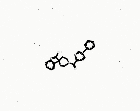 O=C(c1ccc(-c2ccccc2)cn1)N1CCC(C(=O)O)(c2ccccc2)CC1